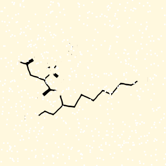 CCCCCCCCC(CCC)OC(=O)C(CC(=O)[O-])S(=O)(=O)[O-].[Na+].[Na+]